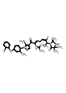 C=C(C)N/C(=C\C/C=C(/F)C(C)N1C(=C)NC(C)(C)C1=O)C(=O)c1cnn(-c2ccc(Oc3ccccc3F)cc2C)c1N